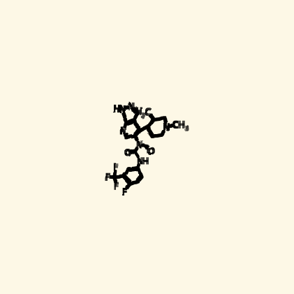 CC1CN(C)CCC1c1c(N(C=O)C(=O)Nc2ccc(F)c(C(F)(F)F)c2)cnc2[nH]ncc12